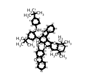 CC(C)(C)c1ccc(Nc2ccc(C(C)(C)C)cc2-c2c3c4c(c5cc6c(cc5n4-c4cc5c(cc4B3)oc3ccccc35)C(C)(C)CCC6(C)C)c3c2sc2ccccc23)cc1